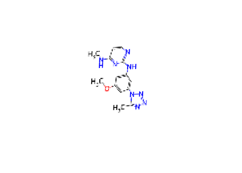 CNc1ccnc(Nc2cc(OC)cc(-n3nnnc3C)c2)n1